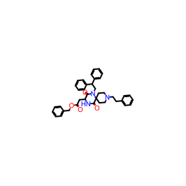 O=C(CC1NC(=O)C2(CCN(CCc3ccccc3)CC2)N(CC(c2ccccc2)c2ccccc2)C1=O)OCc1ccccc1